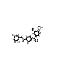 Cc1ccc(C(=O)c2ccc(SCc3ccccc3)cc2)cc1F